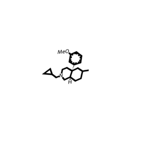 COc1cccc([C@@]23CCN(CC4CC4)C[C@@H]2CCC(C)C3)c1